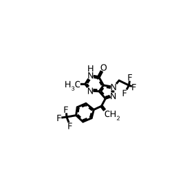 C=C(c1ccc(C(F)(F)F)cc1)c1nn(CC(F)(F)F)c2c(=O)[nH]c(C)nc12